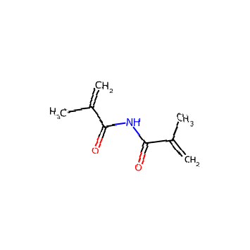 C=C(C)C(=O)NC(=O)C(=C)C